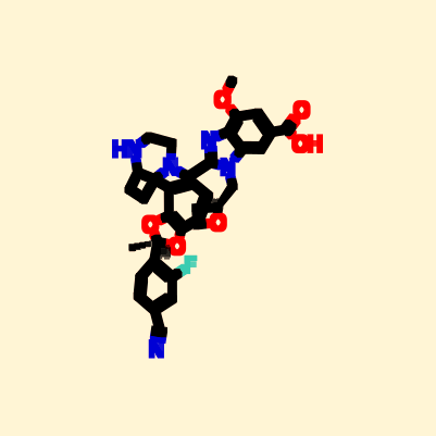 COc1cc(C(=O)O)cc2c1nc(CN1CCNC3CCC31c1cccc3c1O[C@](C)(c1ccc(C#N)cc1F)O3)n2C[C@@H]1CCO1